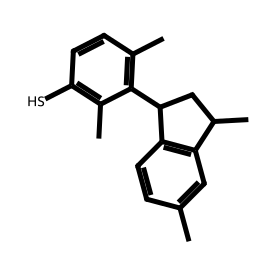 Cc1ccc2c(c1)C(C)CC2c1c(C)ccc(S)c1C